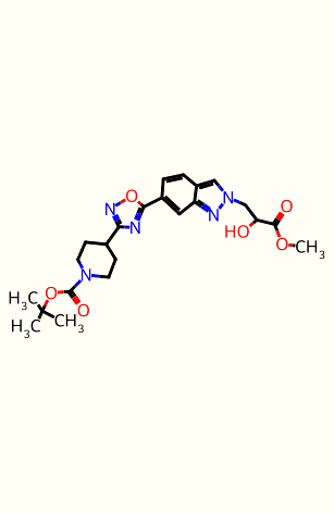 COC(=O)C(O)Cn1cc2ccc(-c3nc(C4CCN(C(=O)OC(C)(C)C)CC4)no3)cc2n1